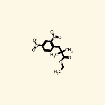 CCOC(=O)C(C)(C)Cc1ccc([N+](=O)[O-])cc1[N+](=O)[O-]